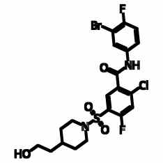 O=C(Nc1ccc(F)c(Br)c1)c1cc(S(=O)(=O)N2CCC(CCO)CC2)c(F)cc1Cl